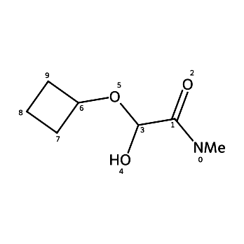 CNC(=O)C(O)OC1CCC1